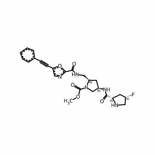 COC(=O)N1C[C@H](NC(=O)[C@@H]2C[C@H](F)CN2)C[C@@H]1CNC(=O)c1ncc(C#Cc2ccccc2)o1